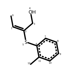 C/C=C(\CO)Sc1ccccc1C